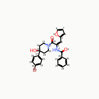 O=C(NC(=Cc1ccco1)C(=O)N1CCC(O)(c2ccc(Br)cc2)CC1)c1ccccc1